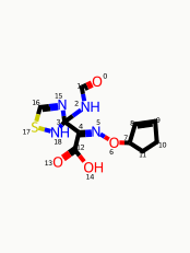 O=CNC1(C(=NOC2C=CCC2)C(=O)O)N=CSN1